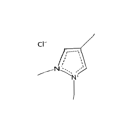 Cc1cn(C)[n+](C)c1.[Cl-]